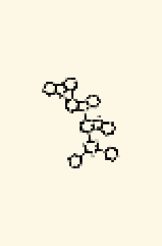 c1ccc(-c2nc(-c3ccccc3)nc(-c3ccc(-n4c5ccccc5c5c6c7cccc8c9ccccc9n(c6ccc54)c87)c4oc5ccccc5c34)n2)cc1